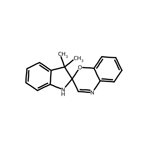 CC1(C)c2ccccc2NC12C=Nc1ccccc1O2